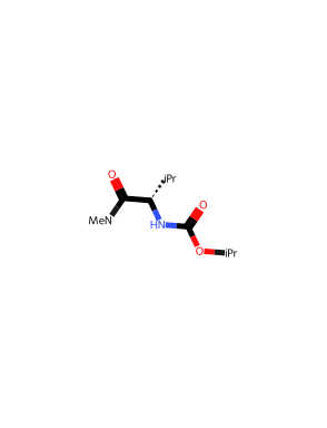 CNC(=O)[C@@H](NC(=O)OC(C)C)C(C)C